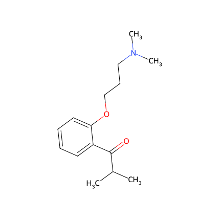 CC(C)C(=O)c1ccccc1OCCCN(C)C